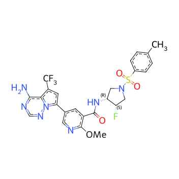 COc1ncc(-c2cc(C(F)(F)F)c3c(N)ncnn23)cc1C(=O)N[C@@H]1CN(S(=O)(=O)c2ccc(C)cc2)C[C@@H]1F